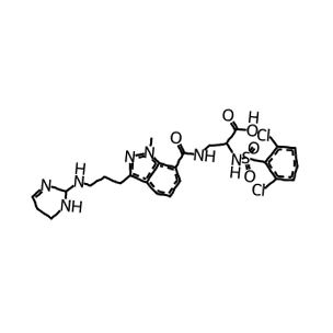 Cn1nc(CCCNC2N=CCCN2)c2cccc(C(=O)NCC(NS(=O)(=O)c3c(Cl)cccc3Cl)C(=O)O)c21